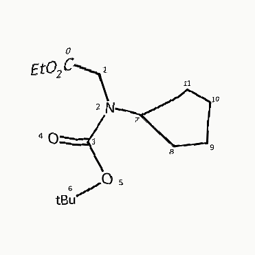 CCOC(=O)CN(C(=O)OC(C)(C)C)C1CCCC1